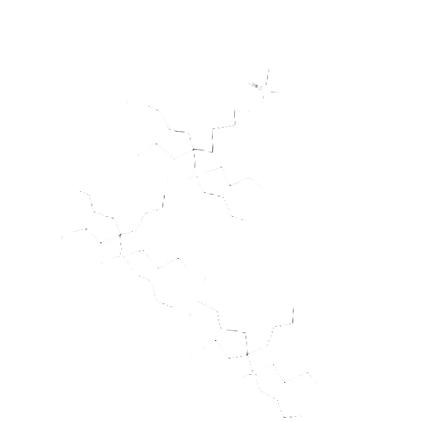 CCCCC(CCC)(CCCC)[N+](C)(CCCC)CCCC.CCCCC(CCC)(CCCC)[N+](C)(CCCC)CCCC.CCCCC(CCC)(CCCC)[N+](C)(CCCC)CCCC.O=P([O-])([O-])[O-]